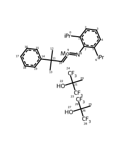 CC(C)c1cccc(C(C)C)c1[N]=[Mo]=[CH]C(C)(C)c1ccccc1.CC(O)(C(F)(F)F)C(F)(F)F.CC(O)(C(F)(F)F)C(F)(F)F